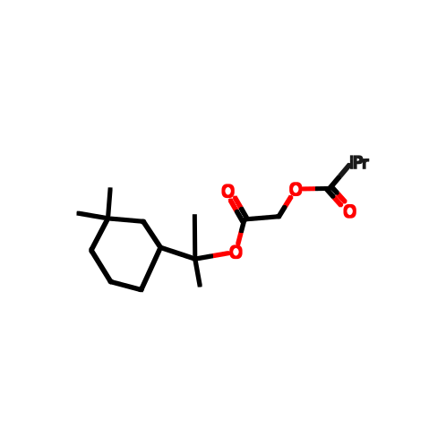 CC(C)C(=O)OCC(=O)OC(C)(C)C1CCCC(C)(C)C1